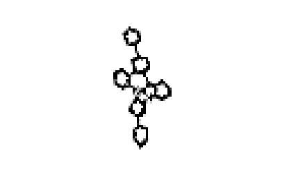 c1ccc(-c2ccc3c(c2)-c2ccccc2-n2c4ccc(-c5ccccc5)cc4n4c5ccccc5c-3c24)cc1